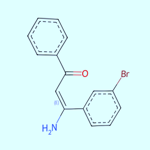 N/C(=C/C(=O)c1ccccc1)c1cccc(Br)c1